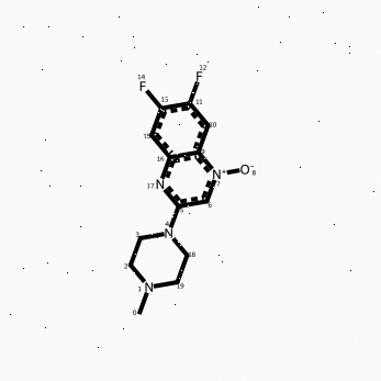 CN1CCN(c2c[n+]([O-])c3cc(F)c(F)cc3n2)CC1